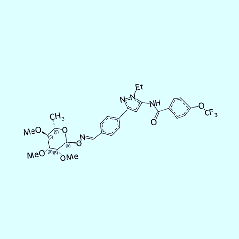 CCn1nc(-c2ccc(C=NO[C@@H]3O[C@@H](C)[C@H](OC)[C@@H](OC)[C@H]3OC)cc2)cc1NC(=O)c1ccc(OC(F)(F)F)cc1